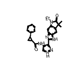 CCN1C(=O)C(C)(C)c2cc3[nH]c(-c4n[nH]cc4NC(=O)C4CC4c4ccccc4)nc3cc21